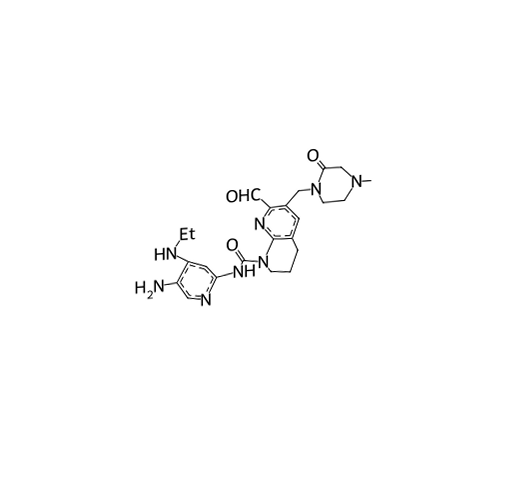 CCNc1cc(NC(=O)N2CCCc3cc(CN4CCN(C)CC4=O)c(C=O)nc32)ncc1N